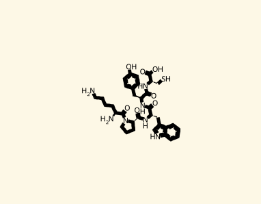 NCCCC[C@H](N)C(=O)N1CCC[C@H]1C(=O)N[C@@H](Cc1c[nH]c2ccccc12)C(=O)N[C@@H](Cc1ccc(O)cc1)C(=O)N[C@@H](CS)C(=O)O